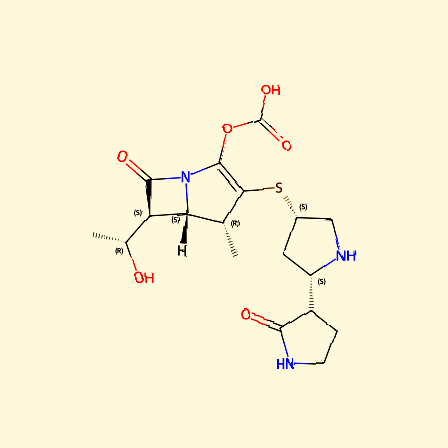 C[C@@H](O)[C@H]1C(=O)N2C(OC(=O)O)=C(S[C@@H]3CN[C@H](C4CCNC4=O)C3)[C@H](C)[C@H]12